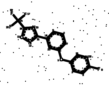 Fc1ccc(Oc2[c]ccc(-c3noc(C(F)(F)F)n3)c2)cn1